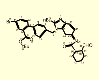 CCCCc1nc2c(n1Cc1ccc(-c3ccc(Br)cc3C(=O)OC(C)(C)C)cc1)CC(=NC(=O)[C@@H]1CCCC[C@@H]1C=O)C=C2